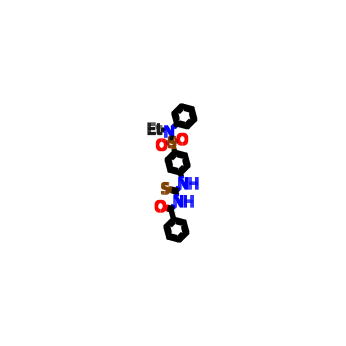 CCN(c1ccccc1)S(=O)(=O)c1ccc(NC(=S)NC(=O)c2ccccc2)cc1